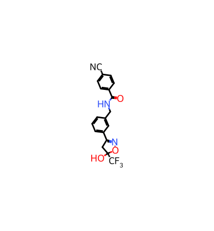 N#Cc1ccc(C(=O)NCc2cccc(C3=NOC(O)(C(F)(F)F)C3)c2)cc1